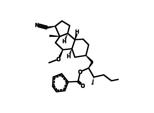 CCC[C@H](C)[C@H](C[C@@H]1CC[C@@H]2[C@@H](C1)[C@@H](OC)C[C@]1(C)[C@@H](C#N)CC[C@@H]21)OC(=O)c1ccccc1